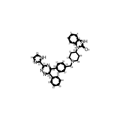 O=c1[nH]c2ccccc2n1C1CCN(Cc2ccc(-c3nc(-c4ncc[nH]4)nnc3-c3ccccc3)cc2)CC1